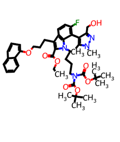 CCOC(=O)c1c(CCCOc2cccc3ccccc23)c2ccc(F)c(-c3c(CO)nn(C)c3C)c2n1CCCCN(C(=O)OC(C)(C)C)C(=O)OC(C)(C)C